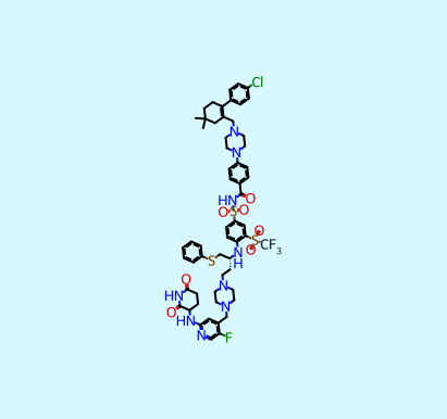 CC1(C)CCC(c2ccc(Cl)cc2)=C(CN2CCN(c3ccc(C(=O)NS(=O)(=O)c4ccc(N[C@H](CCN5CCN(Cc6cc(NC7CCC(=O)NC7=O)ncc6F)CC5)CSc5ccccc5)c(S(=O)(=O)C(F)(F)F)c4)cc3)CC2)C1